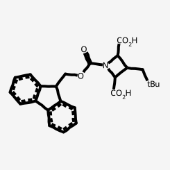 CC(C)(C)CC1C(C(=O)O)N(C(=O)OCC2c3ccccc3-c3ccccc32)C1C(=O)O